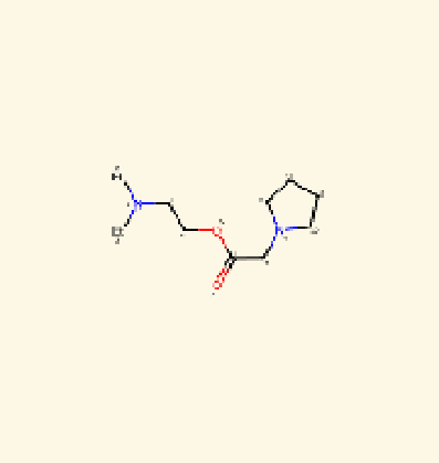 CCN(CC)CCOC(=O)CN1CCCC1